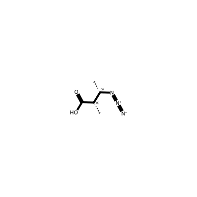 C[C@H](N=[N+]=[N-])[C@H](C)C(=O)O